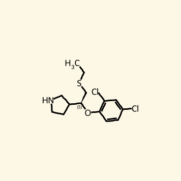 CCSC[C@@H](Oc1ccc(Cl)cc1Cl)C1CCNC1